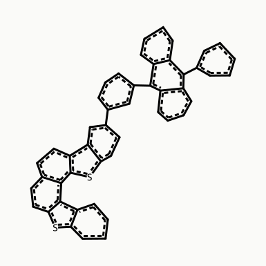 c1ccc(-c2c3ccccc3c(-c3cccc(-c4ccc5sc6c(ccc7ccc8sc9ccccc9c8c76)c5c4)c3)c3ccccc23)cc1